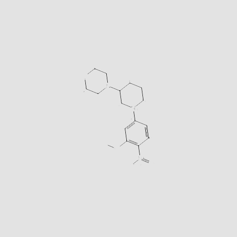 COc1cc(N2CCCC(N3CCOCC3)C2)ccc1[N+](=O)[O-]